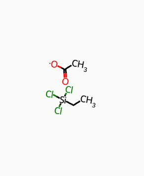 CC([O])=O.CC[Si](Cl)(Cl)Cl